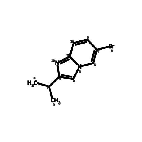 CC(C)c1cn2cc(Br)ccc2n1